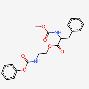 COC(=O)NC(Cc1ccccc1)C(=O)OCCNC(=O)Oc1ccccc1